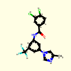 Cc1cn(-c2cc(NC(=O)c3ccc(Cl)c(Cl)c3)cc(C(F)(F)F)c2)cn1